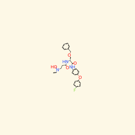 C=CN(O)CCC(=O)N[C@@H](COCc1ccccc1)C(=O)Nc1ccc(Oc2ccc(F)cc2)cc1